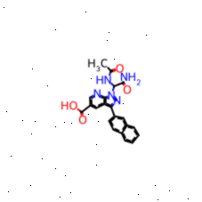 CC(=O)NC(C(N)=O)n1nc(-c2ccc3ccccc3c2)c2cc(C(=O)O)cnc21